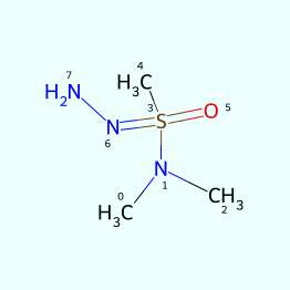 CN(C)S(C)(=O)=NN